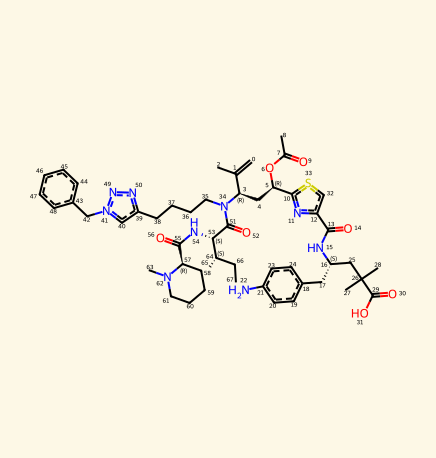 C=C(C)[C@@H](C[C@@H](OC(C)=O)c1nc(C(=O)N[C@@H](Cc2ccc(N)cc2)CC(C)(C)C(=O)O)cs1)N(CCCCc1cn(Cc2ccccc2)nn1)C(=O)[C@@H](NC(=O)[C@H]1CCCCN1C)[C@@H](C)CC